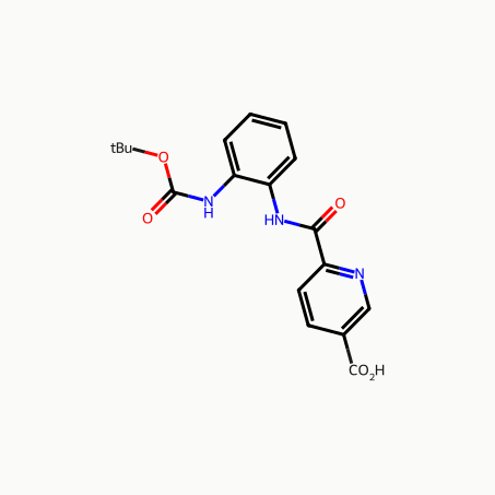 CC(C)(C)OC(=O)Nc1ccccc1NC(=O)c1ccc(C(=O)O)cn1